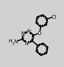 Nc1nnc(Oc2cccc(Cl)c2)c(-c2ccccc2)n1